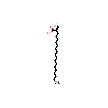 CC=C(CCCCCCCCCCCCCCCCC)C(=O)O